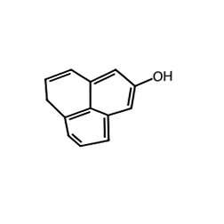 Oc1cc2c3c(cccc3c1)CC=C2